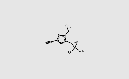 CCn1nc(C#N)cc1C1OC1(C)C